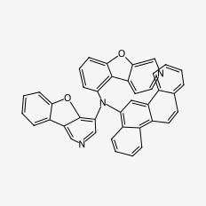 c1ccc2c(c1)ccc1c3ccccc3c(N(c3cncc4c3oc3ccccc34)c3cccc4oc5cnccc5c34)cc21